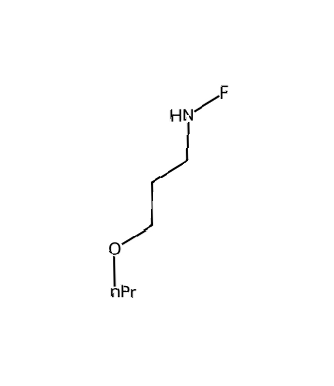 CCCOCCCNF